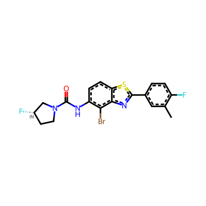 Cc1cc(-c2nc3c(Br)c(NC(=O)N4CC[C@H](F)C4)ccc3s2)ccc1F